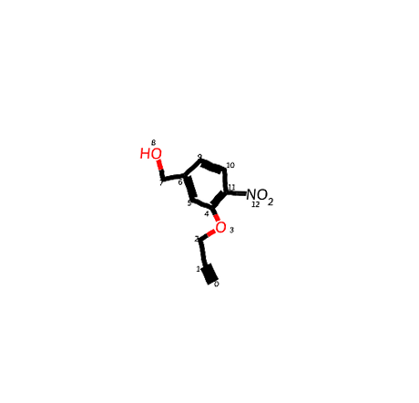 C#CCOc1cc(CO)ccc1[N+](=O)[O-]